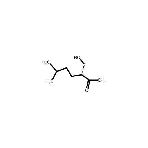 CC(=O)[C@@H](CO)CCC(C)C